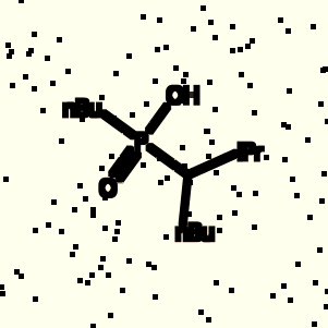 CCCCC(C(C)C)P(=O)(O)CCCC